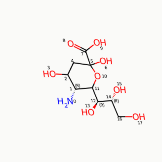 N[C@@H]1C(O)CC(O)(C(=O)O)OC1[C@H](O)[C@H](O)CO